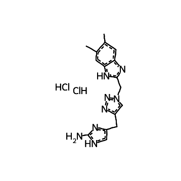 Cc1cc2nc(Cn3cc(Cc4c[nH]c(N)n4)nn3)[nH]c2cc1C.Cl.Cl